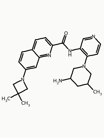 CC1CC(N)CN(c2ccncc2NC(=O)c2ccc3ccc(N4CC(C)(C)C4)cc3n2)C1